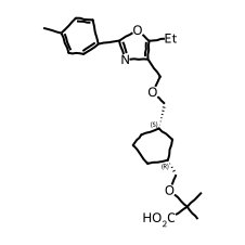 CCc1oc(-c2ccc(C)cc2)nc1COC[C@H]1CCC[C@@H](COC(C)(C)C(=O)O)C1